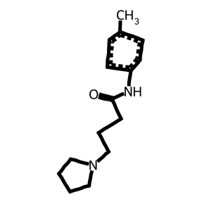 Cc1ccc(NC(=O)CCCN2CCCC2)cc1